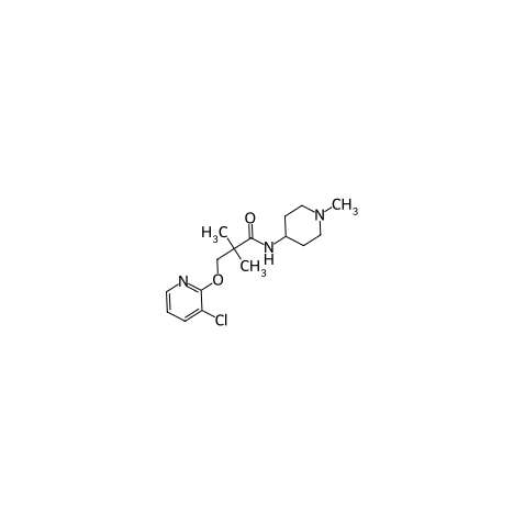 CN1CCC(NC(=O)C(C)(C)COc2ncccc2Cl)CC1